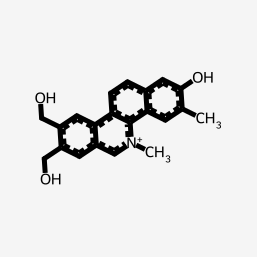 Cc1cc2c(ccc3c4cc(CO)c(CO)cc4c[n+](C)c23)cc1O